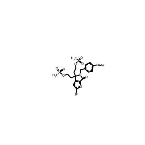 COc1ccc(CN2C(=O)c3sc(Br)cc3C2(CCOS(C)(=O)=O)CCOS(C)(=O)=O)cc1